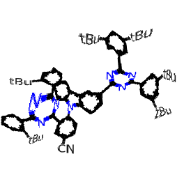 CC(C)(C)c1cc(-c2nc(-c3cc(C(C)(C)C)cc(C(C)(C)C)c3)nc(-c3ccc4c(c3)c3ccccc3n4-c3ccc(C#N)cc3-c3nc(-c4ccccc4C(C)(C)C)nc(-c4ccccc4C(C)(C)C)n3)n2)cc(C(C)(C)C)c1